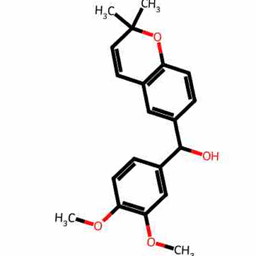 COc1ccc(C(O)c2ccc3c(c2)C=CC(C)(C)O3)cc1OC